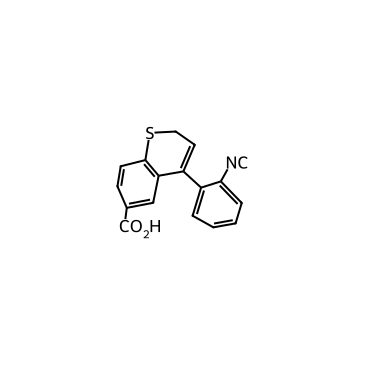 [C-]#[N+]c1ccccc1C1=CCSc2ccc(C(=O)O)cc21